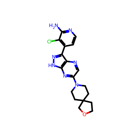 Nc1nccc(-c2n[nH]c3nc(N4CCC5(CCOC5)CC4)cnc23)c1Cl